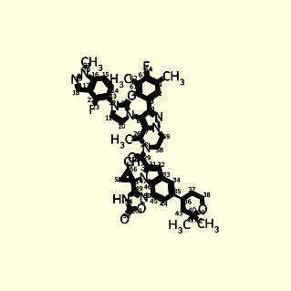 Cc1cc(-c2nn3c(c2-n2ccn(-c4ccc5c(cnn5C)c4F)c2=O)C(C)N(C(=O)c2cc4cc([C@H]5CCOC(C)(C)C5)ccc4n2[C@@]2(c4noc(=O)[nH]4)C[C@@H]2C)CC3)cc(C)c1F